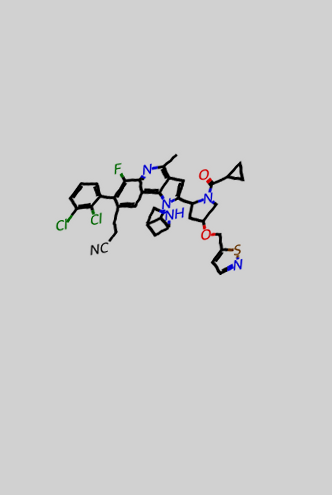 Cc1nc2c(F)c(-c3cccc(Cl)c3Cl)c(CCC#N)cc2c2c1cc(C1CC(OCc3ccns3)CN1C(=O)C1CC1)n2C1C2CNC1C2